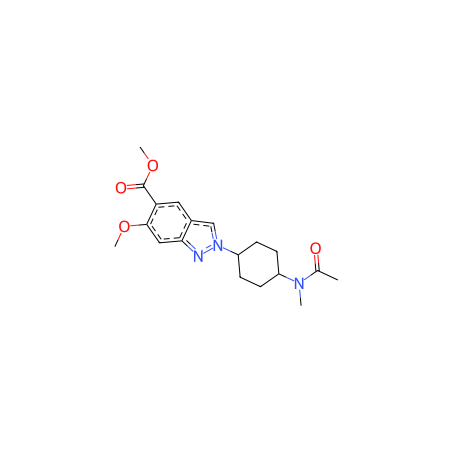 COC(=O)c1cc2cn(C3CCC(N(C)C(C)=O)CC3)nc2cc1OC